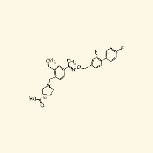 CCc1cc(/C(C)=N/OCc2ccc(-c3ccc(F)cc3)c(F)c2)ccc1CN1CC[C@H](C(=O)O)C1